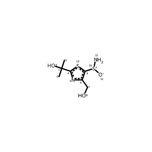 CC(C)(O)c1nc(CO)c([S+](N)[O-])s1